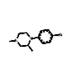 CC1CN(C)CCN1c1ccc(Br)cc1